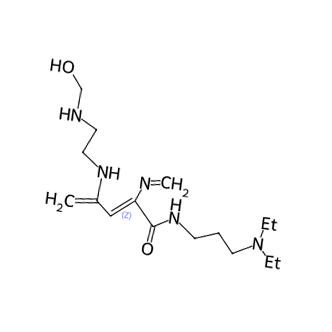 C=N/C(=C\C(=C)NCCNCO)C(=O)NCCCN(CC)CC